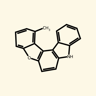 Cc1cccc2oc3ccc4[nH]c5ccccc5c4c3c12